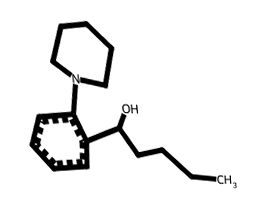 CCCCC(O)c1ccccc1N1CCCCC1